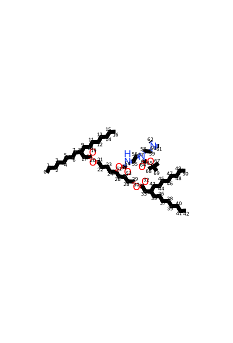 CCCCCCCCC(CCCCCCCC)CC(=O)OCCCCC(CCCCOC(=O)CC(CCCCCCCC)CCCCCCCC)OC(=O)NCCN(CCN(C)C)C(=O)OC(C)(C)C